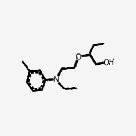 CCC(CO)OCCN(CC)c1cccc(C)c1